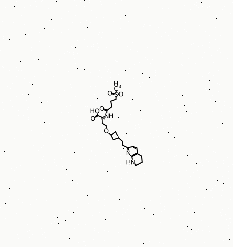 CS(=O)(=O)CCCC(=O)N[C@@H](CCOC1CC(CCc2ccc3c(n2)NCCC3)C1)C(=O)O